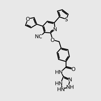 N#Cc1c(-c2ccoc2)cc(-c2cccs2)nc1OCc1ccc(C(=O)NC2=NNNN2)cc1